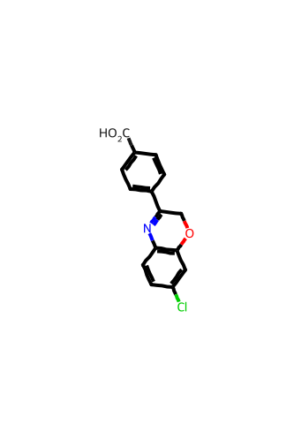 O=C(O)c1ccc(C2=Nc3ccc(Cl)cc3OC2)cc1